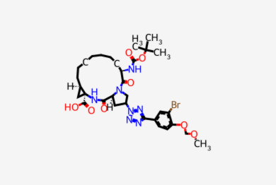 COCOc1ccc(-c2nnn(C3C[C@H]4C(=O)N[C@@]5(C(=O)O)C[C@H]5CCCCCCC[C@@H](NC(=O)OC(C)(C)C)C(=O)N4C3)n2)cc1Br